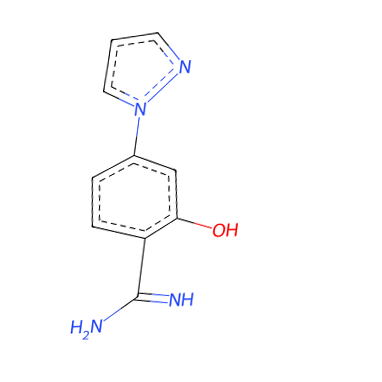 N=C(N)c1ccc(-n2cccn2)cc1O